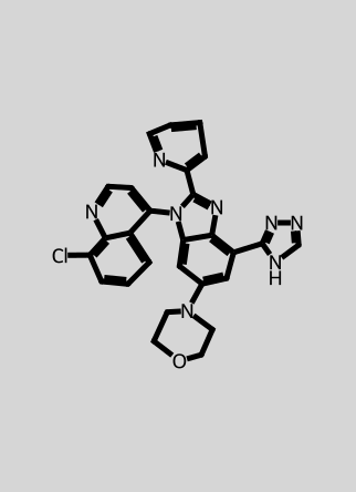 Clc1cccc2c(-n3c(-c4ccccn4)nc4c(-c5nnc[nH]5)cc(N5CCOCC5)cc43)ccnc12